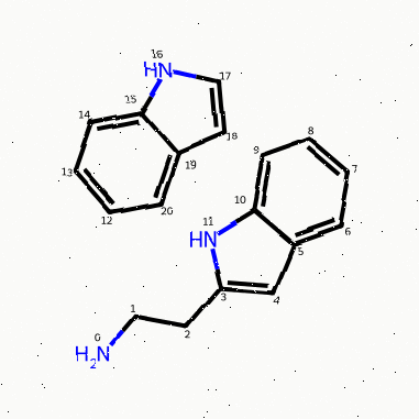 NCCc1cc2ccccc2[nH]1.c1ccc2[nH]ccc2c1